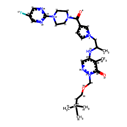 CC(Cn1ccc(C(=O)N2CCN(c3ncc(F)cn3)CC2)c1)Nc1cnn(COCC[Si](C)(C)C)c(=O)c1C(F)(F)F